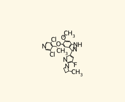 COc1cc2[nH]nc(-c3cnc(N4CC[C@@H]4C)c(F)c3)c2cc1O[C@H](C)c1c(Cl)cncc1Cl